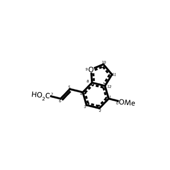 COc1ccc(C=CC(=O)O)c2occc12